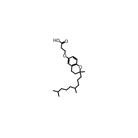 CC(C)CCCC(C)CCCC1(C)CCc2cc(OCCC(=O)O)ccc2O1